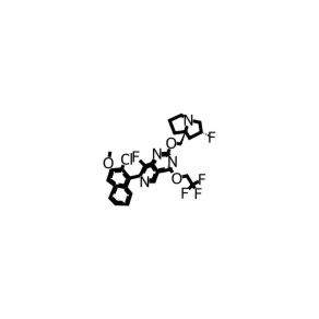 COc1cc2ccccc2c(-c2ncc3c(OCC(F)(F)F)nc(OC[C@@]45CCCN4C[C@H](F)C5)nc3c2F)c1Cl